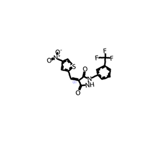 O=C1NN(c2cccc(C(F)(F)F)c2)C(=O)/C1=C\c1cc([N+](=O)[O-])cs1